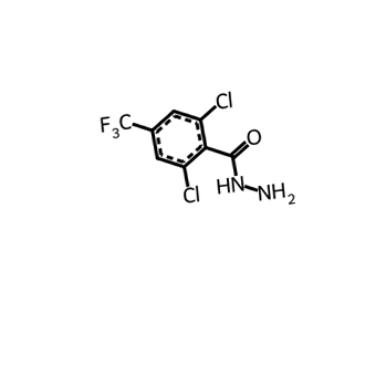 NNC(=O)c1c(Cl)cc(C(F)(F)F)cc1Cl